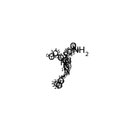 COc1cccc(COc2nc(N3CCN(CC#CCOC4CCCCO4)CC3)ncc2Sc2ccc(C(N)=O)cc2)c1